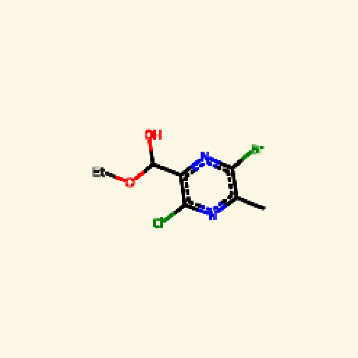 CCOC(O)c1nc(Br)c(C)nc1Cl